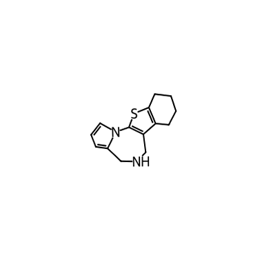 c1cc2n(c1)-c1sc3c(c1CNC2)CCCC3